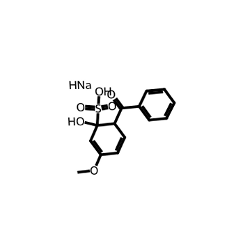 COC1=CC(O)(S(=O)(=O)O)C(C(=O)c2ccccc2)C=C1.[NaH]